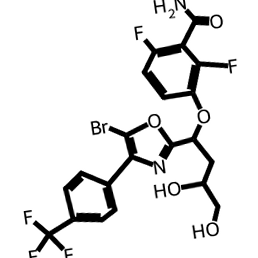 NC(=O)c1c(F)ccc(OC(CC(O)CO)c2nc(-c3ccc(C(F)(F)F)cc3)c(Br)o2)c1F